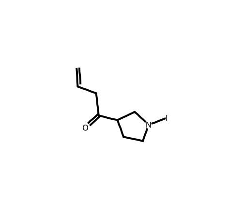 C=CCC(=O)C1CCN(I)C1